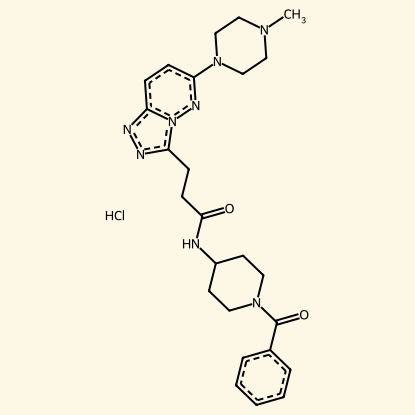 CN1CCN(c2ccc3nnc(CCC(=O)NC4CCN(C(=O)c5ccccc5)CC4)n3n2)CC1.Cl